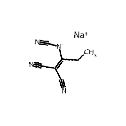 CCC([N-]C#N)=C(C#N)C#N.[Na+]